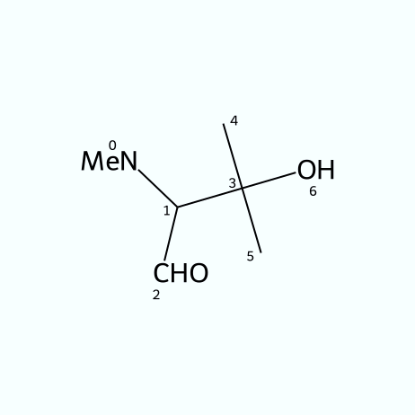 CNC(C=O)C(C)(C)O